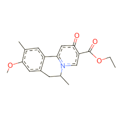 CCOC(=O)c1cn2c(cc1=O)-c1cc(C)c(OC)cc1CC2C